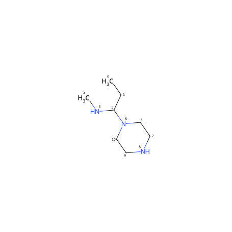 CCC(NC)N1CCNCC1